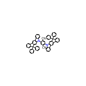 N#Cc1cc(-n2c3ccccc3c3cc4c(cc32)C(c2ccccc2)(c2ccccc2)c2ccccc2-4)c(C#N)cc1-n1c2ccccc2c2cc3c(cc21)C(c1ccccc1)(c1ccccc1)c1ccccc1-3